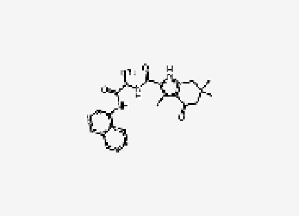 CCCCC(NC(=O)c1[nH]c2c(c1C)C(=O)CC(C)(C)C2)C(=O)Nc1cncc2ccccc12